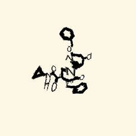 O=C(NC1CC1)C(=O)[C@H]1CN(c2cc(Cl)cc(OCc3ccccc3)n2)C(=O)[C@@H]1Cc1ccccc1